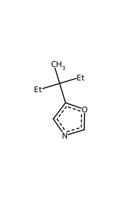 CCC(C)(CC)c1cnco1